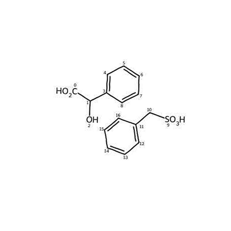 O=C(O)C(O)c1ccccc1.O=S(=O)(O)Cc1ccccc1